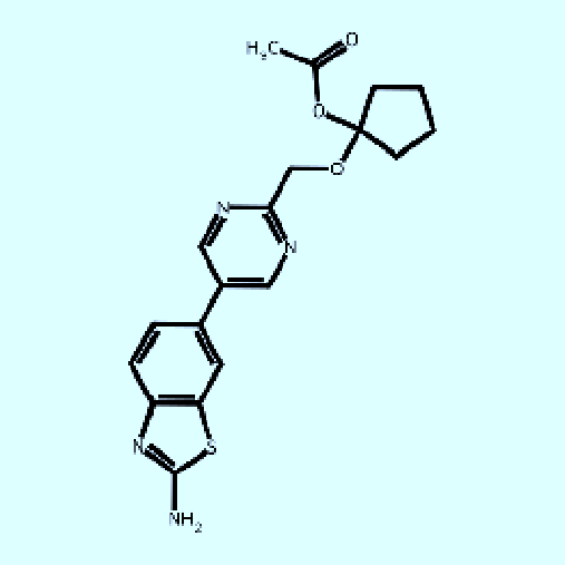 CC(=O)OC1(OCc2ncc(-c3ccc4nc(N)sc4c3)cn2)CCCC1